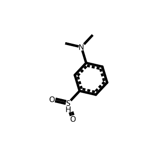 CN(C)c1cccc([SH](=O)=O)c1